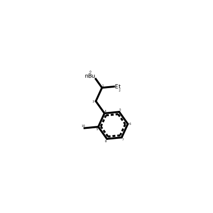 CCCCC(CC)Cc1ccccc1C